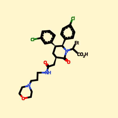 CCC(C(=O)O)N1C(=O)[C@@H](CC(=O)NCCCN2CCOCC2)C[C@H](c2cccc(Cl)c2)[C@H]1c1ccc(Cl)cc1